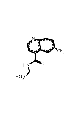 O=C(O)CNC(=O)c1ccnc2ccc(C(F)(F)F)cc12